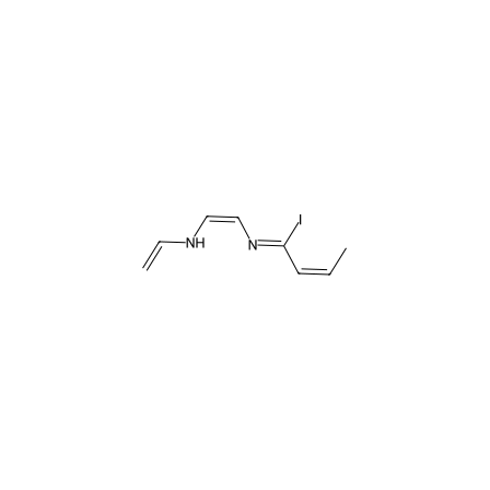 C=CN\C=C/N=C(I)/C=C\C